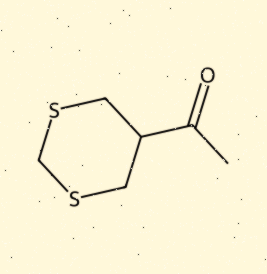 CC(=O)C1CSCSC1